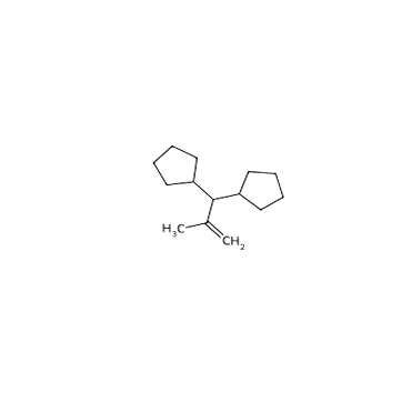 C=C(C)C(C1CCCC1)C1CCCC1